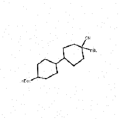 CCCCCCCCCCC1CCC(C2CCC(C#N)(CCCC)CC2)CC1